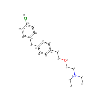 CCN(CC)CCOCCc1ccc(Cc2ccc(Cl)cc2)cc1